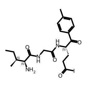 CC[C@H](C)[C@H](N)C(=O)NCC(=O)N[C@@H](CCC(=O)I)C(=O)c1ccc(C)cc1